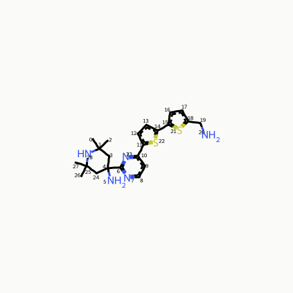 CC1(C)CC(N)(c2nccc(-c3ccc(-c4ccc(CN)s4)s3)n2)CC(C)(C)N1